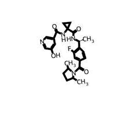 CC1CCC(C)N1C(=O)c1ccc([C@@H](C)NC(=O)C2(NC(=O)c3cncc(O)c3)CC2)c(F)c1